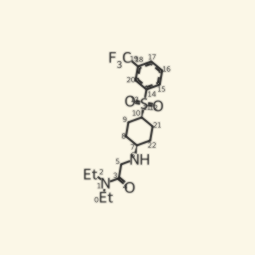 CCN(CC)C(=O)CN[C@H]1CC[C@@H](S(=O)(=O)c2cccc(C(F)(F)F)c2)CC1